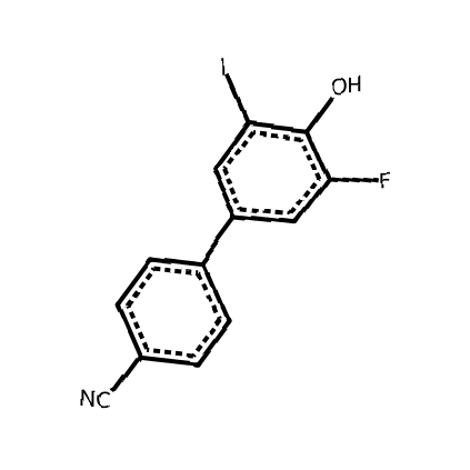 N#Cc1ccc(-c2cc(F)c(O)c(I)c2)cc1